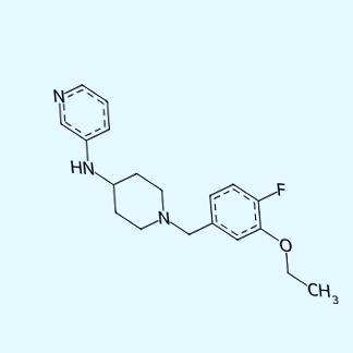 CCOc1cc(CN2CCC(Nc3cccnc3)CC2)ccc1F